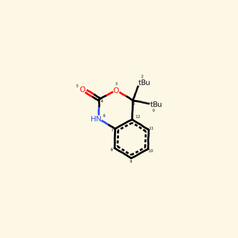 CC(C)(C)C1(C(C)(C)C)OC(=O)Nc2ccccc21